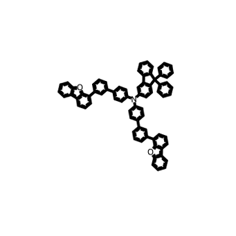 c1ccc(C2(c3ccccc3)c3ccccc3-c3cc(N(c4ccc(-c5cccc(-c6cccc7c6oc6ccccc67)c5)cc4)c4ccc(-c5cccc(-c6cccc7c6oc6ccccc67)c5)cc4)ccc32)cc1